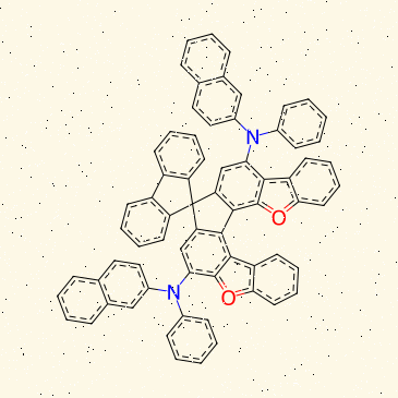 c1ccc(N(c2ccc3ccccc3c2)c2cc3c(c4c2oc2ccccc24)-c2c(cc(N(c4ccccc4)c4ccc5ccccc5c4)c4c2oc2ccccc24)C32c3ccccc3-c3ccccc32)cc1